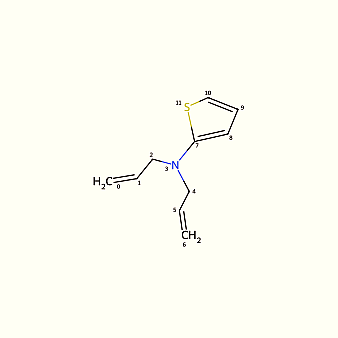 C=CCN(CC=C)c1cccs1